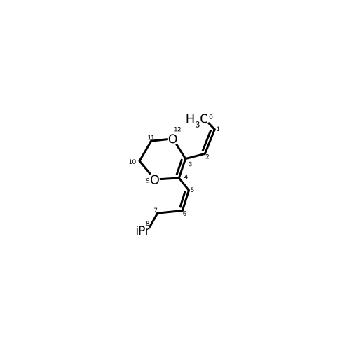 C/C=C\C1=C(/C=C\CC(C)C)OCCO1